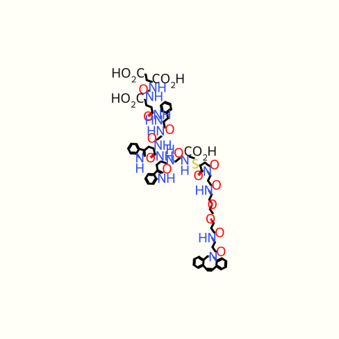 O=C(O)CC[C@H](NC(=O)N[C@@H](CCC(=O)NNC(Cc1ccccc1)C(=O)NCC(=O)NC(Cc1c[nH]c2ccccc12)C(=O)NC(Cc1c[nH]c2ccccc12)C(=O)NCC(=O)NC(CSC1CC(=O)N(CCC(=O)NCCOCCOCCC(=O)NCCC(=O)N2Cc3ccccc3C#Cc3ccccc32)C1=O)C(=O)O)C(=O)O)C(=O)O